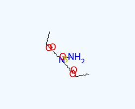 CCCCCC/C=C\COC(=O)CCCCCCCN(CCCCCCCC(=O)OC/C=C\CCCCCC)C(=O)SCCN